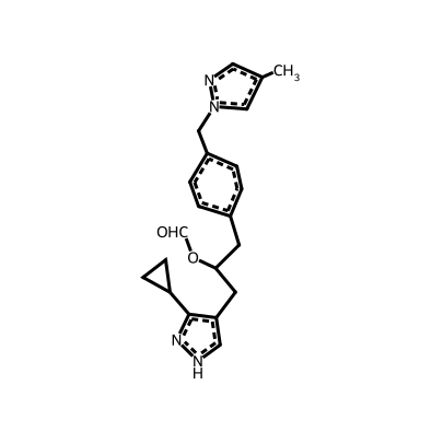 Cc1cnn(Cc2ccc(CC(Cc3c[nH]nc3C3CC3)OC=O)cc2)c1